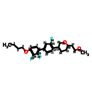 CCCCOc1ccc(-c2ccc(C3CCC(CCOC)OC3)c(F)c2)c(F)c1F